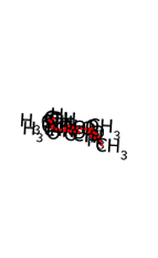 C/C=C/C1=CN2C(=O)c3cc(OC)c(OCCCOc4cc5c(cc4OC)C(=O)N4C=C(/C=C/CNC(=O)[C@H](C)NC(=O)[C@@H](NC(=O)O)C(C)C)C[C@H]4C=N5)cc3N=C[C@@H]2C1